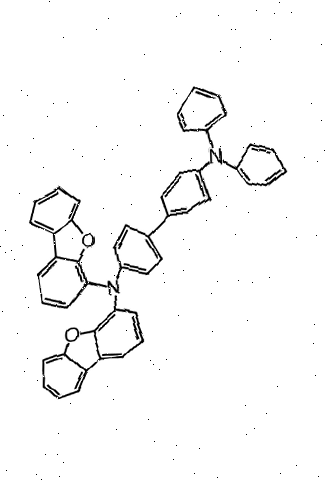 c1ccc(N(c2ccccc2)c2ccc(-c3ccc(N(c4cccc5c4oc4ccccc45)c4cccc5c4oc4ccccc45)cc3)cc2)cc1